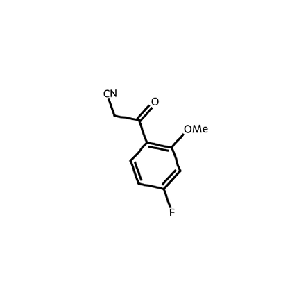 COc1cc(F)ccc1C(=O)CC#N